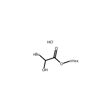 CCCCCCOC(=O)C(O)CCCC.Cl